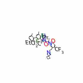 CCOC(=O)C[C@H](NC(=O)C(CC(C)C)n1cc(CCN2CC3(CCC3)C2)c(C(F)(F)F)cc1=O)c1c(F)c(C)cc(-c2c(C)cccc2C)c1F